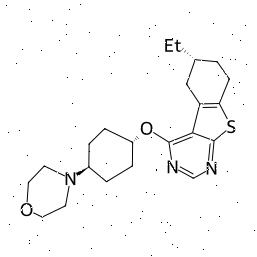 CC[C@@H]1CCc2sc3ncnc(O[C@H]4CC[C@H](N5CCOCC5)CC4)c3c2C1